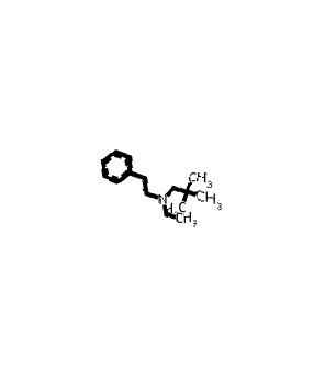 CCN(CCc1ccccc1)CC(C)(C)C